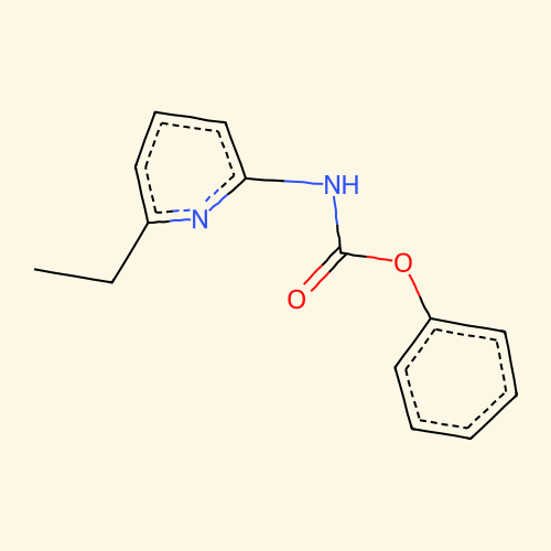 CCc1cccc(NC(=O)Oc2ccccc2)n1